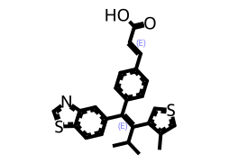 Cc1cscc1/C(=C(\c1ccc(/C=C/C(=O)O)cc1)c1ccc2scnc2c1)C(C)C